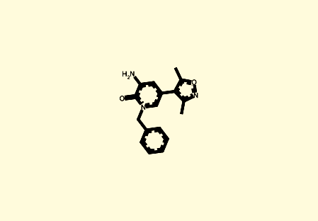 Cc1noc(C)c1-c1cc(N)c(=O)n(Cc2ccccc2)c1